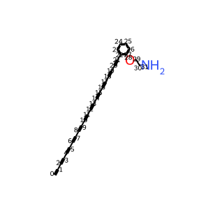 C#CC#CC#CC#CC#CC#CC#CC#CC#CC#CC#Cc1ccccc1OCCN